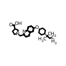 CCC(C)(C)[C@H]1CC[C@H](Oc2ccc3nc(CN4CCC(C(=O)O)C4)ccc3c2)CC1